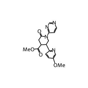 COC(=O)C1CC(=O)N(c2ccncn2)CC1c1ccc(OC)cn1